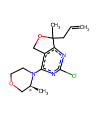 C=CCC1(C)OCc2c(N3CCOC[C@@H]3C)nc(Cl)nc21